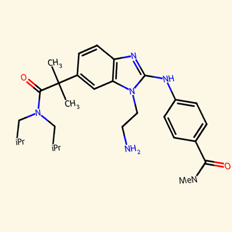 CNC(=O)c1ccc(Nc2nc3ccc(C(C)(C)C(=O)N(CC(C)C)CC(C)C)cc3n2CCN)cc1